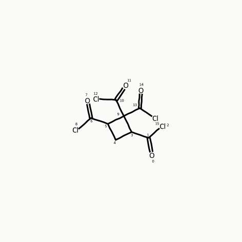 O=C(Cl)C1CC(C(=O)Cl)C1(C(=O)Cl)C(=O)Cl